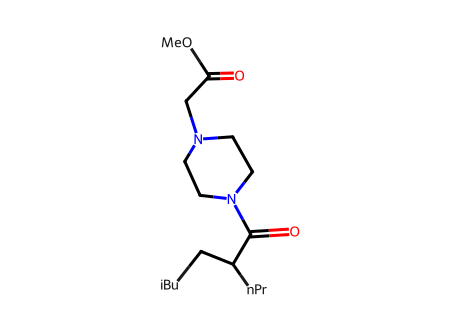 CCCC(CC(C)CC)C(=O)N1CCN(CC(=O)OC)CC1